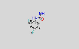 [NH]C(=O)Nc1ccc(F)cc1F